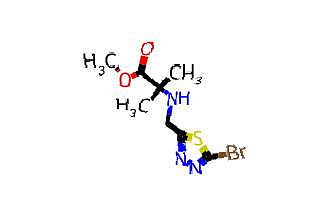 COC(=O)C(C)(C)NCc1nnc(Br)s1